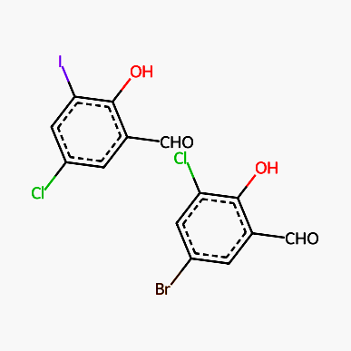 O=Cc1cc(Br)cc(Cl)c1O.O=Cc1cc(Cl)cc(I)c1O